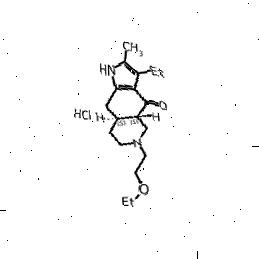 CCOCCN1CC[C@H]2Cc3[nH]c(C)c(CC)c3C(=O)[C@@H]2C1.Cl